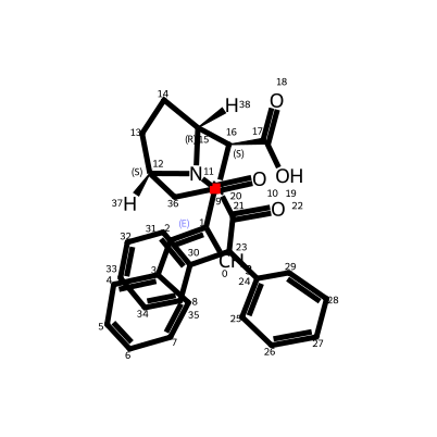 C/C(=C\c1ccccc1)C(=O)N1[C@H]2CC[C@@H]1[C@@H](C(=O)O)N(C(=O)C(c1ccccc1)c1ccccc1)C2